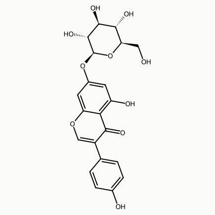 O=c1c(-c2ccc(O)cc2)coc2cc(O[C@@H]3O[C@H](CO)[C@@H](O)[C@H](O)[C@H]3O)cc(O)c12